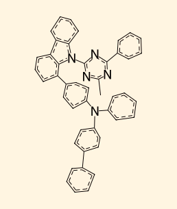 Cc1nc(-c2ccccc2)nc(-n2c3ccccc3c3cccc(-c4ccc(N(c5ccccc5)c5ccc(-c6ccccc6)cc5)cc4)c32)n1